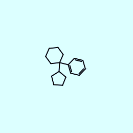 [c]1ccc(C2(C3CCCC3)CCCCC2)cc1